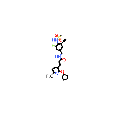 C#Cc1cc(CNC(=O)C=Cc2ccc(C(F)(F)F)nc2OC2CCCC2)cc(F)c1NS(C)(=O)=O